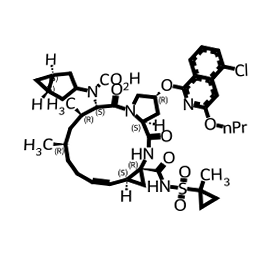 CCCOc1cc2c(Cl)cccc2c(O[C@@H]2C[C@H]3C(=O)N[C@]4(C(=O)NS(=O)(=O)C5(C)CC5)C[C@H]4C=CCC[C@@H](C)C[C@@H](C)[C@H](N(C(=O)O)C4C[C@@H]5C[C@H]5C4)C(=O)N3C2)n1